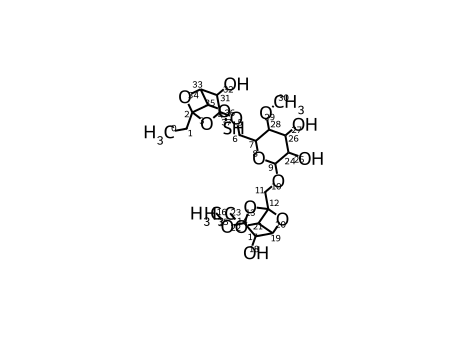 CCC12OC(OCC3OC(OCC45OC(OC)C(O)C(O4)C5OC)C(O)C(O)C3OC)C(O)C(O1)C2OS